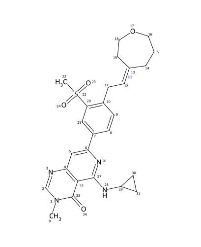 Cn1cnc2cc(-c3ccc(C/C=C4/CCCOCC4)c(S(C)(=O)=O)c3)nc(NC3CC3)c2c1=O